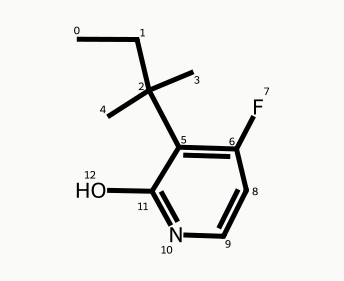 CCC(C)(C)c1c(F)ccnc1O